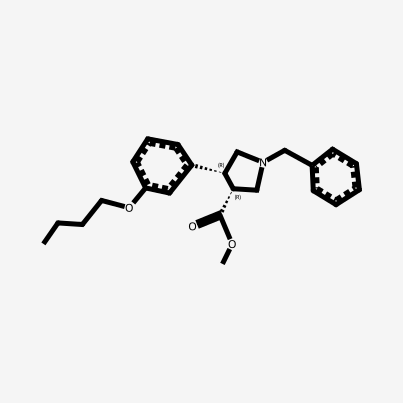 CCCCOc1cccc([C@@H]2CN(Cc3ccccc3)C[C@@H]2C(=O)OC)c1